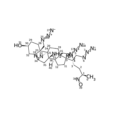 C[C@H](CC[C@@H](CN=[N+]=[N-])[C@@]1(N)CC[C@@H]2[C@]1(CN=[N+]=[N-])CC[C@]1(N)[C@@]3(CN=[N+]=[N-])CC[C@H](O)CC3=CC[C@@]21N)N=O